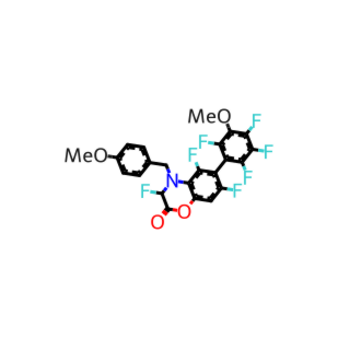 COc1ccc(CN2c3c(cc(F)c(-c4c(F)c(F)c(F)c(OC)c4F)c3F)OC(=O)C2F)cc1